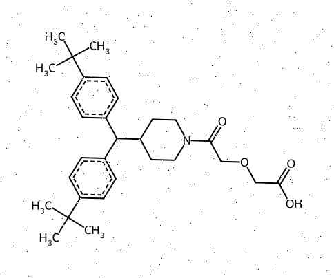 CC(C)(C)c1ccc(C(c2ccc(C(C)(C)C)cc2)C2CCN(C(=O)COCC(=O)O)CC2)cc1